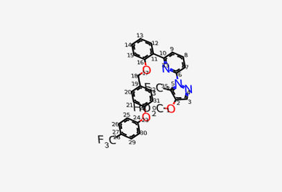 O=C(O)Oc1cnn(-c2cccc(-c3ccccc3OCc3ccc(Oc4ccc(C(F)(F)F)cc4)cc3)n2)c1C(F)(F)F